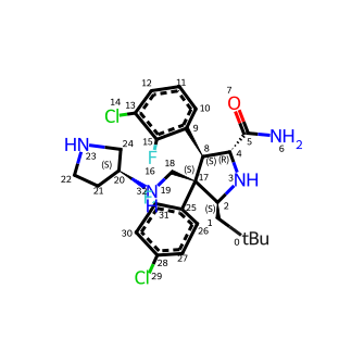 CC(C)(C)C[C@@H]1N[C@@H](C(N)=O)[C@H](c2cccc(Cl)c2F)[C@@]1(CN[C@H]1CCNC1)c1ccc(Cl)cc1F